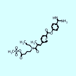 C=CCN(CCCC(=O)OS(C)(=O)=O)C(=O)/C(C)=C/c1ccc(C(=O)Oc2ccc(C(=N)N)cc2)cc1